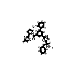 Cc1csc(C2CCCN2C(=O)c2cc(-c3nnc(C(C)(N)Cc4ccccc4)o3)cc(-c3ccccc3C#N)c2)n1